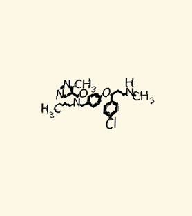 CCCN(Cc1ccc(OC(CCNC)c2ccc(Cl)cc2)cc1)C(=O)c1cncnc1C